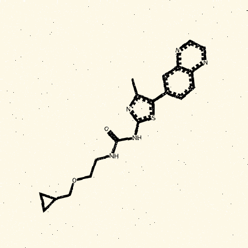 Cc1nc(NC(=O)NCCOCC2CC2)sc1-c1ccc2nccnc2c1